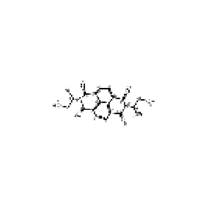 CC(C)C(CO)N1C(=O)c2ccc3c4c(ccc(c24)C1=O)C(=O)N(C(CO)C(C)C)C3=O